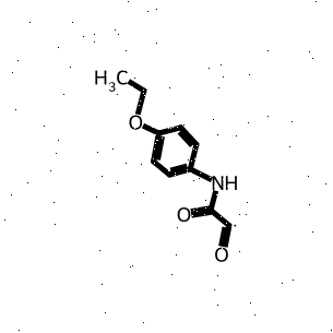 CCOc1ccc(NC(=O)[C]=O)cc1